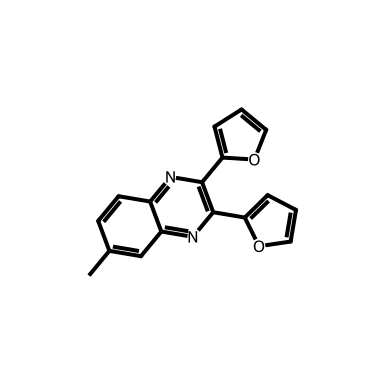 Cc1ccc2nc(-c3ccco3)c(-c3ccco3)nc2c1